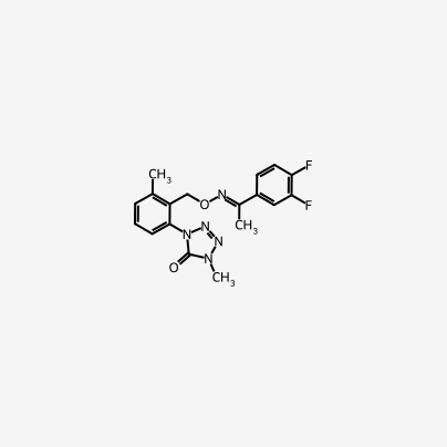 CC(=NOCc1c(C)cccc1-n1nnn(C)c1=O)c1ccc(F)c(F)c1